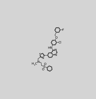 CN(CCS(=O)(=O)c1ccccc1)Cc1nc(-c2ccc3ncnc(Nc4ccc(OCc5cccc(F)c5)c(Cl)c4)c3c2)cs1